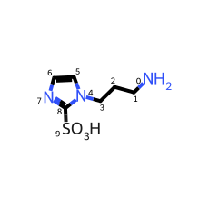 NCCCn1ccnc1S(=O)(=O)O